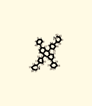 c1ccc(-c2ccc3c(-c4ccc(-c5ccccn5)cc4)c4cc(-c5ccccc5)ccc4c(-c4ccc(-c5ccccn5)cc4)c3c2)cc1